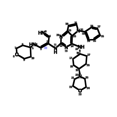 N=C/C(=C\NC1CCOCC1)Nc1nc(N[C@H]2CC[C@H](N3CCOCC3)CC2)c2c(ccn2-c2ccccc2)n1